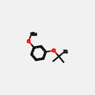 CCC(C)(C)Oc1cccc(OC(C)(C)C)c1